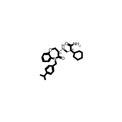 CC(C)c1ccc(CN2C(=O)[C@@H](NC[C@H](C(N)=O)C3CCCCC3)COc3ccccc32)cc1